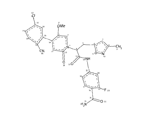 COc1cn(C(Cc2cc(C)no2)C(=O)Nc2ccc(C(N)=O)c(F)c2)c(=O)cc1-c1cc(Cl)ccc1C#N